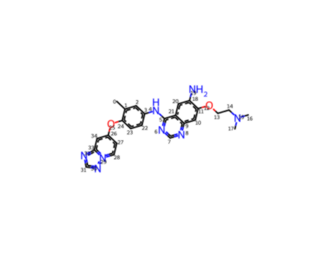 Cc1cc(Nc2ncnc3cc(OCCN(C)C)c(N)cc23)ccc1Oc1ccn2ncnc2c1